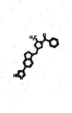 CC1CC(CN2CCc3cc(-c4cn[nH]c4)ccc32)CN1C(=O)c1ccccc1